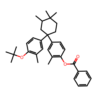 Cc1cc(C2(c3ccc(OC(C)(C)C)c(C)c3)CCC(C)(C)C(C)C2)ccc1OC(=O)c1ccccc1